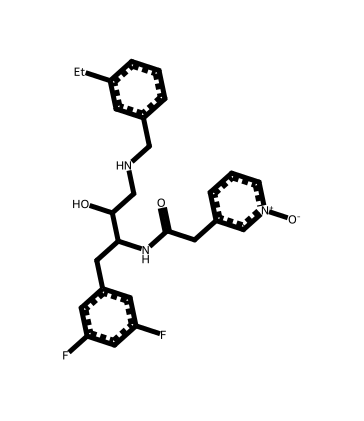 CCc1cccc(CNCC(O)C(Cc2cc(F)cc(F)c2)NC(=O)Cc2ccc[n+]([O-])c2)c1